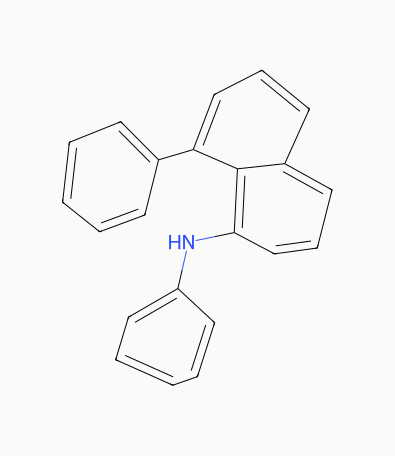 c1ccc(Nc2cccc3cccc(-c4ccccc4)c23)cc1